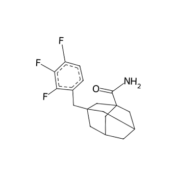 NC(=O)C12CC3CC(CC(Cc4ccc(F)c(F)c4F)(C3)C1)C2